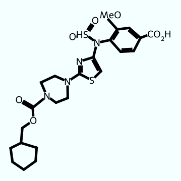 COc1cc(C(=O)O)ccc1N(c1csc(N2CCN(C(=O)OCC3CCCCC3)CC2)n1)[SH](=O)=O